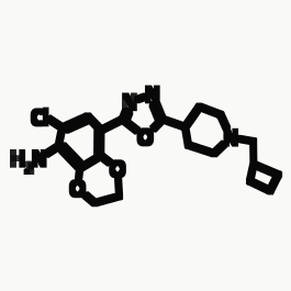 Nc1c(Cl)cc(-c2nnc(C3CCN(CC4CCC4)CC3)o2)c2c1OCCO2